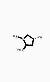 O=C(O)C1C[C@@H](O)CN1P